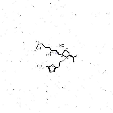 CC(C)=C1C[C@@H](O)[C@H](/C=C/[C@@H](O)CCC[C@@H](C)O)[C@H]1CCCc1ccc(C(=O)O)s1